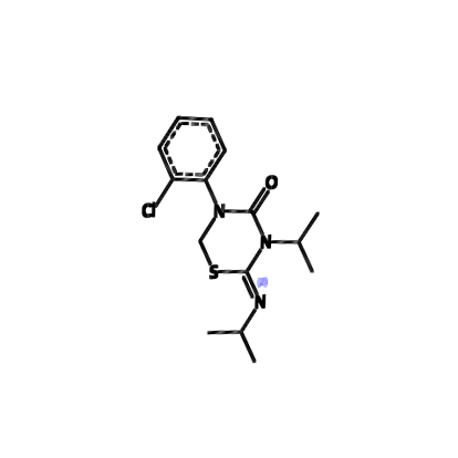 CC(C)/N=C1\SCN(c2ccccc2Cl)C(=O)N1C(C)C